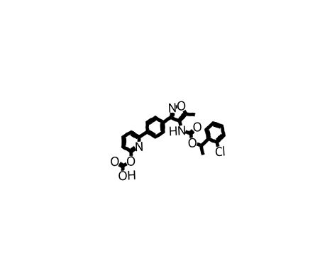 Cc1onc(-c2ccc(-c3cccc(OC(=O)O)n3)cc2)c1NC(=O)OC(C)c1ccccc1Cl